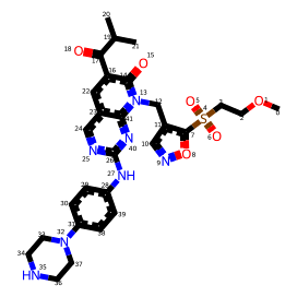 COCCS(=O)(=O)c1oncc1Cn1c(=O)c(C(=O)C(C)C)cc2cnc(Nc3ccc(N4CCNCC4)cc3)nc21